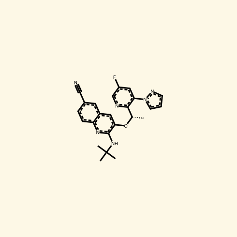 C[C@H](Oc1cc2cc(C#N)ccc2nc1NC(C)(C)C)c1ncc(F)cc1-n1cccn1